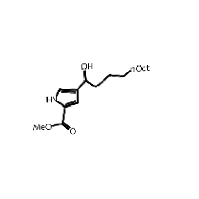 CCCCCCCCCCCC(O)c1c[nH]c(C(=O)OC)c1